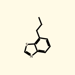 C[CH]Cc1cccc2ncsc12